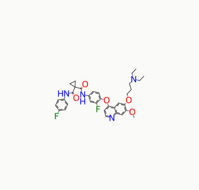 CCN(CC)CCCOc1cc2c(Oc3ccc(NC(=O)C4(C(=O)Nc5ccc(F)cc5)CC4)cc3F)ccnc2cc1OC